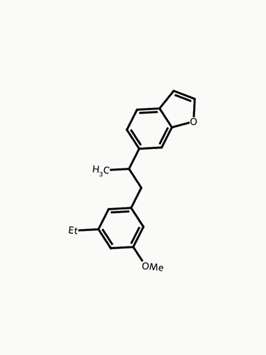 CCc1cc(CC(C)c2ccc3ccoc3c2)cc(OC)c1